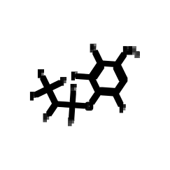 Nc1cc(F)c(OC(F)(F)C(F)C(F)(F)F)c(F)c1F